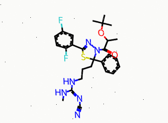 CNC(=NC#N)NCCCC1(c2ccccc2)SC(c2cc(F)ccc2F)=NN1C(=O)C(C)OC(C)(C)C